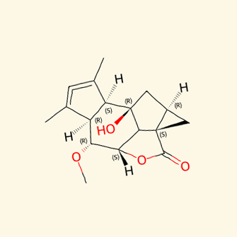 CO[C@@H]1[C@H]2C(C)=C=C(C)[C@H]2[C@]2(O)C[C@H]3C[C@]34C(=O)O[C@H]1C24